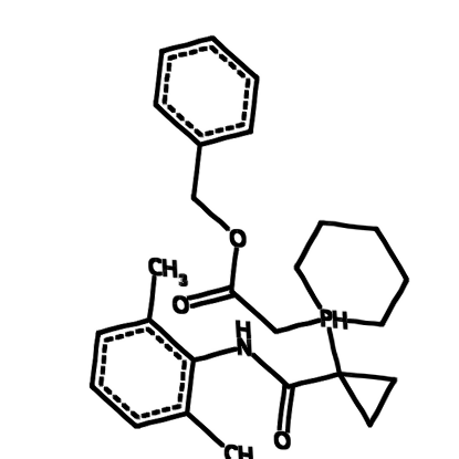 Cc1cccc(C)c1NC(=O)C1([PH]2(CC(=O)OCc3ccccc3)CCCCC2)CC1